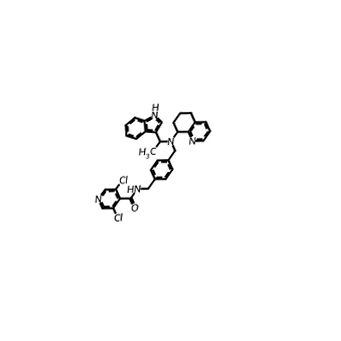 CC(c1c[nH]c2ccccc12)N(Cc1ccc(CNC(=O)c2c(Cl)cncc2Cl)cc1)C1CCCc2cccnc21